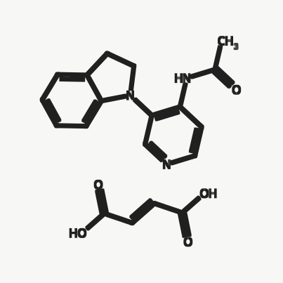 CC(=O)Nc1ccncc1N1CCc2ccccc21.O=C(O)C=CC(=O)O